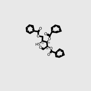 O=C[C@H](OC(=O)c1ccccc1)[C@H](OC(=O)c1ccccc1)[C@@H](S)COC(=O)c1ccccc1